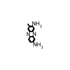 Cc1cc2nc3ccc(N)cc3nc2cc1N